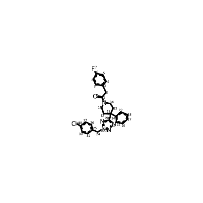 O=C(Cc1ccc(F)cc1)N1CCC(c2ccccc2)(c2nnn(Cc3ccc(Cl)cc3)n2)CC1